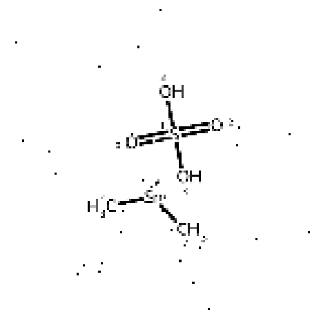 O=S(=O)(O)O.[CH3][Sn][CH3]